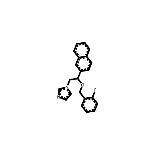 Fc1ccccc1COC(Cn1ccnc1)c1ccc2ccccc2c1